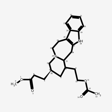 COC(=O)CC[C@@H]1CC(CCOC(C)=O)C2Cc3[nH]c4ccccc4c3CCN2C1